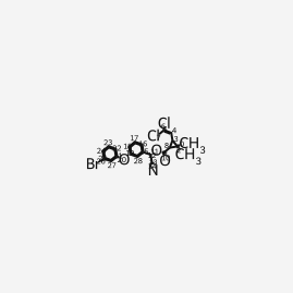 CC1(C)C(C=C(Cl)Cl)C1C(=O)OC(C#N)c1cccc(Oc2cccc(Br)c2)c1